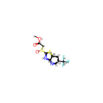 COC(=O)C[S+]([O-])c1nc2ncc(C(F)(F)F)cc2s1